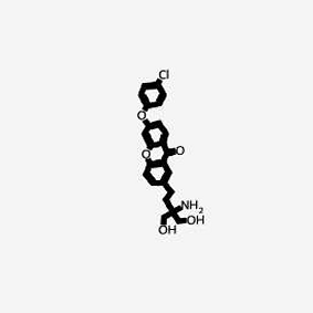 NC(CO)(CO)CCc1ccc2oc3cc(Oc4ccc(Cl)cc4)ccc3c(=O)c2c1